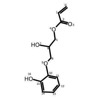 C=CC(=O)OCC(O)COc1ccccc1O